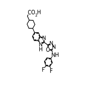 O=C(O)CC1CCC(c2ccc3[nH]c(-c4nnc(Nc5ccc(F)c(F)c5)o4)nc3c2)CC1